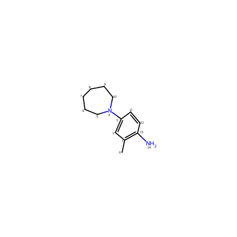 Cc1cc(N2CCCCCC2)ccc1N